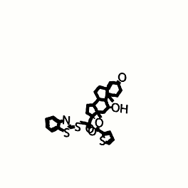 CC12CCC(=O)C=C1CCC1C2[C@@H](O)CC2(C)C1CC[C@]2(OC(=O)c1cccs1)C(=O)CSc1nc2ccccc2s1